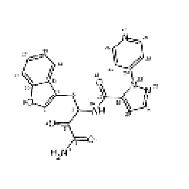 NC(=O)C(=O)C(Cc1coc2ccccc12)NC(=O)c1ccnn1-c1ccncc1